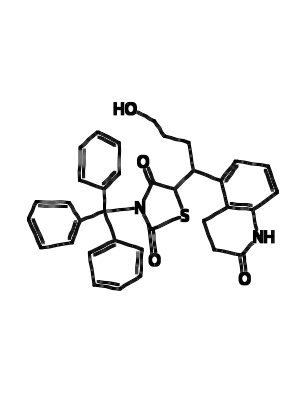 O=C1CCc2c(cccc2C(CCCO)C2SC(=O)N(C(c3ccccc3)(c3ccccc3)c3ccccc3)C2=O)N1